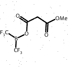 COC(=O)CC(=O)OB(C(F)(F)F)C(F)(F)F